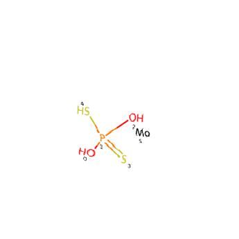 OP(O)(=S)S.[Mo]